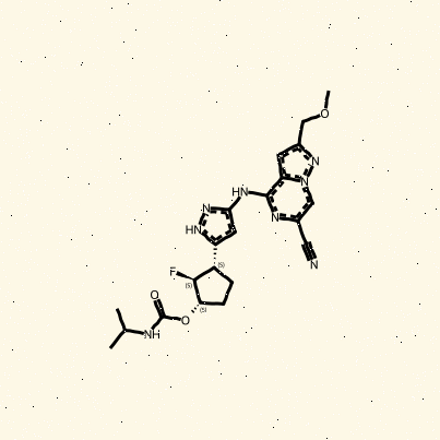 COCc1cc2c(Nc3cc([C@@H]4CC[C@H](OC(=O)NC(C)C)[C@H]4F)[nH]n3)nc(C#N)cn2n1